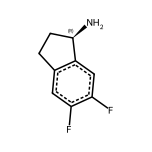 N[C@@H]1CCc2cc(F)c(F)cc21